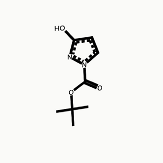 CC(C)(C)OC(=O)n1ccc(O)n1